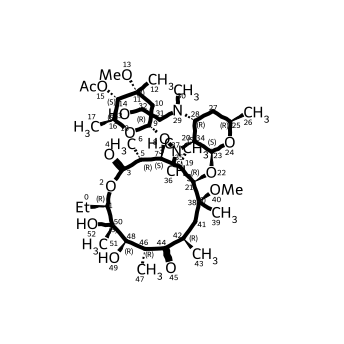 CC[C@H]1OC(=O)[C@H](C)[C@@H](O[C@H]2C[C@@](C)(OC)[C@@H](OC(C)=O)[C@H](C)O2)[C@H](C)[C@@H](O[C@@H]2O[C@H](C)C[C@@H](N(C)CCO)[C@@H]2N(C)C)[C@@](C)(OC)C[C@@H](C)C(=O)[C@H](C)[C@@H](O)[C@]1(C)O